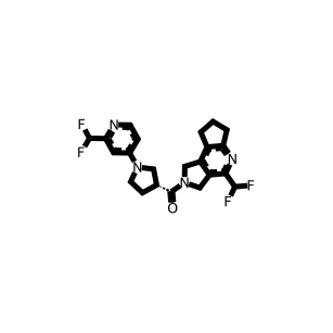 O=C([C@@H]1CCN(c2ccnc(C(F)F)c2)C1)N1Cc2c(C(F)F)nc3c(c2C1)CCC3